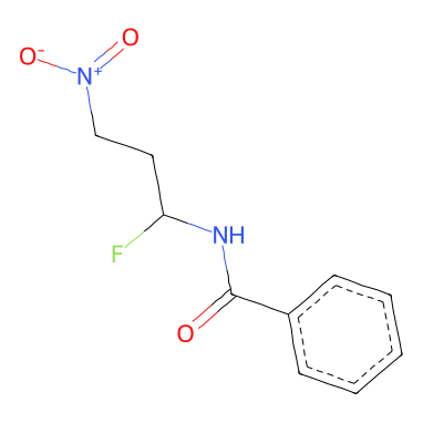 O=C(NC(F)CC[N+](=O)[O-])c1ccccc1